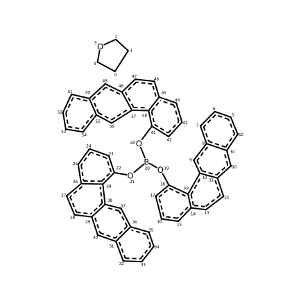 C1CCOC1.c1ccc2cc3c(ccc4cccc(OB(Oc5cccc6ccc7cc8ccccc8cc7c56)Oc5cccc6ccc7cc8ccccc8cc7c56)c43)cc2c1